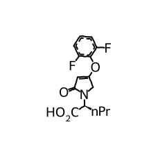 CCC[C@@H](C(=O)O)N1CC(Oc2c(F)cccc2F)=CC1=O